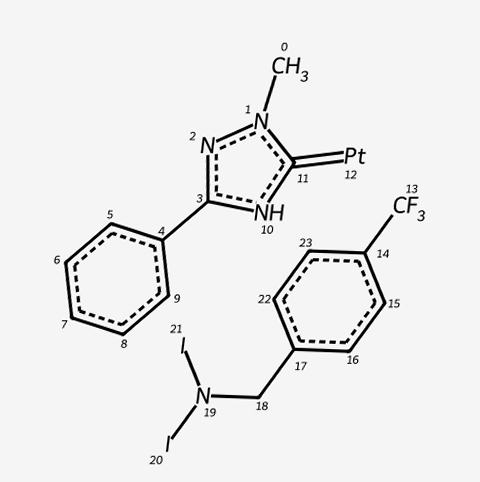 Cn1nc(-c2ccccc2)[nH][c]1=[Pt].FC(F)(F)c1ccc(CN(I)I)cc1